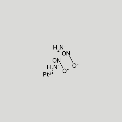 O=N[O-].O=N[O-].[NH2-].[NH2-].[Pt+2]